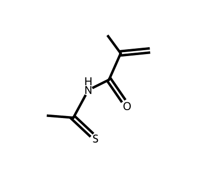 C=C(C)C(=O)NC(C)=S